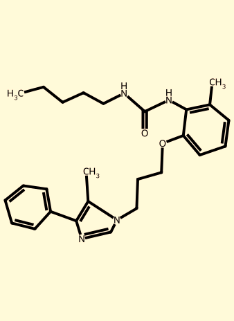 CCCCCNC(=O)Nc1c(C)cccc1OCCCn1cnc(-c2ccccc2)c1C